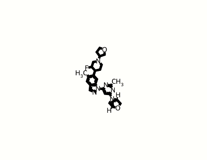 Cc1nc(N2C[C@@H]3C[C@H]2CO3)cc(-n2ncc3cc(C)c(C4CCN(C5CCOC5)CC4F)cc32)n1